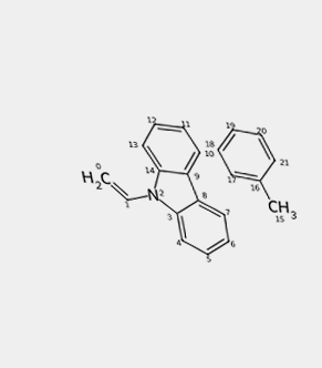 C=Cn1c2ccccc2c2ccccc21.Cc1ccccc1